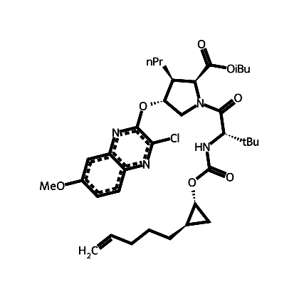 C=CCCC[C@@H]1C[C@H]1OC(=O)N[C@H](C(=O)N1C[C@H](Oc2nc3cc(OC)ccc3nc2Cl)[C@@H](CCC)[C@H]1C(=O)OCC(C)C)C(C)(C)C